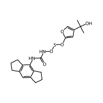 CC(C)(O)c1coc(OSONC(=O)Nc2c3c(cc4c2CCC4)CCC3)c1